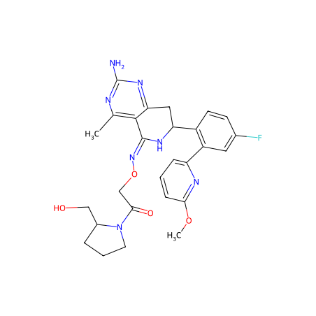 COc1cccc(-c2cc(F)ccc2C2Cc3nc(N)nc(C)c3C(=NOCC(=O)N3CCCC3CO)N2)n1